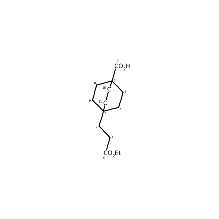 CCOC(=O)CCC12CCC(C(=O)O)(CC1)CC2